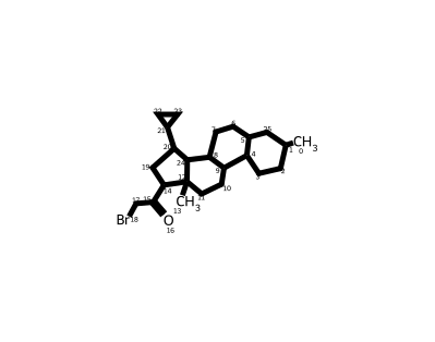 CC1CCC2C(CCC3C2CCC2(C)C(C(=O)CBr)CC(C4CC4)C32)C1